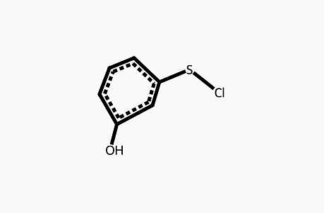 Oc1cccc(SCl)c1